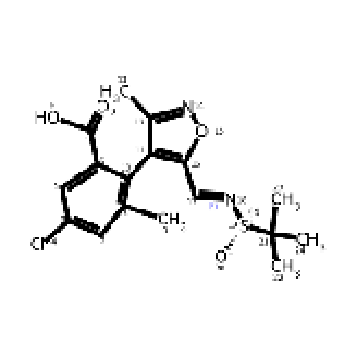 Cc1cc(Cl)cc(C(=O)O)c1-c1c(C)noc1/C=N/[S@@+]([O-])C(C)(C)C